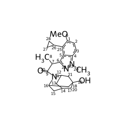 COc1ccc2c(c(C(C)C(=O)N3C4CC5CC3CC(O)(C5)C4)nn2C)c1C1CC1